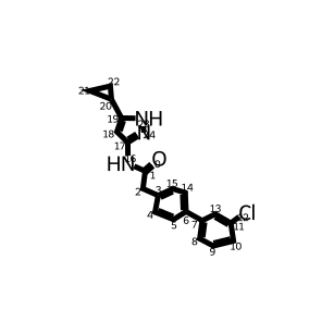 O=C(Cc1ccc(-c2cccc(Cl)c2)cc1)Nc1cc(C2CC2)[nH]n1